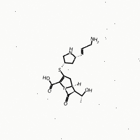 C[C@@H](O)[C@H]1C(=O)N2C(C(=O)O)=C(S[C@@H]3CN[C@H](/C=C/CN)C3)C[C@@H]12